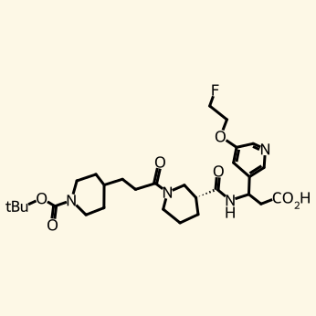 CC(C)(C)OC(=O)N1CCC(CCC(=O)N2CCC[C@@H](C(=O)NC(CC(=O)O)c3cncc(OCCF)c3)C2)CC1